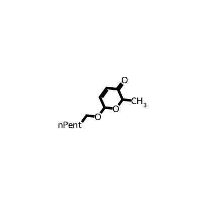 CCCCCCOC1C=CC(=O)C(C)O1